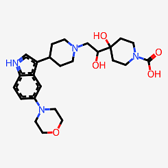 O=C(O)N1CCC(O)(C(O)CN2CCC(c3c[nH]c4ccc(N5CCOCC5)cc34)CC2)CC1